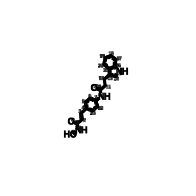 O=C(/C=C/c1ccc(NC(=O)CCc2c[nH]c3ccccc23)cc1)NO